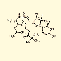 CC(C)OC(=O)[C@H](C)N[P@](=S)(OCCSC(=O)C(C)(C)C)OC[C@H]1O[C@@H](N2C=CC(O)NC2=O)[C@@](F)(Cl)[C@@H]1O